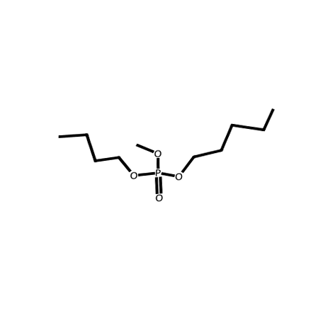 CCCCCOP(=O)(OC)OCCCC